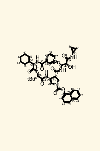 CCC[C@H](NC(=O)[C@@H]1CN(C(=O)Oc2cccc3ccccc23)C[C@@H]1NC(=O)[C@@H](NC(=O)[C@@H](NC(=O)c1cnccn1)C1CCCCC1)C(C)(C)C)C(O)C(=O)NC1CC1